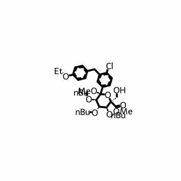 CCCCO[C@@H]1[C@@H](OCCCC)[C@](OC)(c2ccc(Cl)c(Cc3ccc(OCC)cc3)c2)O[C@@](CO)(C(=O)OC)[C@H]1OCCCC